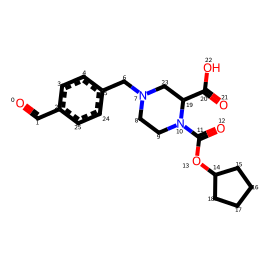 O=Cc1ccc(CN2CCN(C(=O)OC3CCCC3)C(C(=O)O)C2)cc1